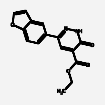 CCOC(=O)c1cc(-c2ccc3occc3c2)n[nH]c1=O